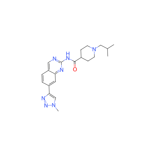 CC(C)CN1CCC(C(=O)Nc2ncc3ccc(-c4cn(C)nn4)cc3n2)CC1